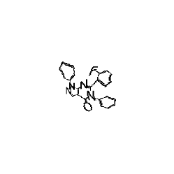 O=c1c2cnn(-c3ccccc3)c2nc(-c2ccccc2F)n1-c1ccccc1